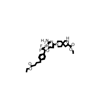 CCOC(=O)CCCc1ccc([C@@H](Oc2cc(N3CCC4(CC3)CNC(C(=O)OCC)C4)nc(N)n2)C(F)(F)F)cc1